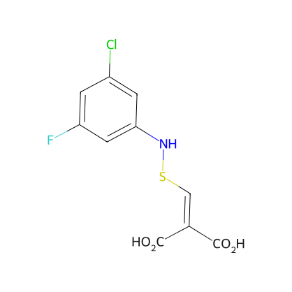 O=C(O)C(=CSNc1cc(F)cc(Cl)c1)C(=O)O